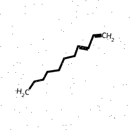 [CH2]CCCCCCC=CC=C